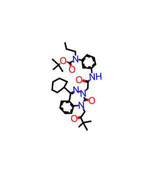 CCCN(C(=O)OC(C)(C)C)c1cccc(NC(=O)CN2N=C(C3CCCCC3)c3ccccc3N(CC(=O)C(C)(C)C)C2=O)c1